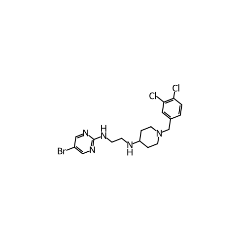 Clc1ccc(CN2CCC(NCCNc3ncc(Br)cn3)CC2)cc1Cl